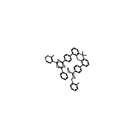 C=N/C(=N\Cc1ccccc1C)c1ccc(-c2cccc3c2Cc2c(-c4ccc(-c5nc(C6=C(C)CCC=C6)nc(-c6ccccc6)n5)cc4)cccc2C3(C)C)cc1